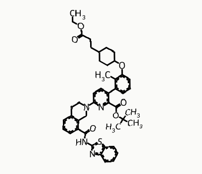 CCOC(=O)CCC1CCC(Oc2cccc(-c3ccc(N4CCc5cccc(C(=O)Nc6nc7ccccc7s6)c5C4)nc3C(=O)OC(C)(C)C)c2C)CC1